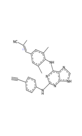 C#Cc1ccc(Nc2nc(Nc3c(C)cc(/C=C(\C)C#N)cc3C)c3nc[nH]c3n2)cc1